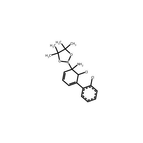 CC1(C)OB(C2(N)C=CC=C(c3ccccc3Cl)C2Cl)OC1(C)C